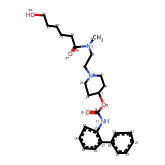 CN(CCN1CCC(OC(=O)Nc2ccccc2-c2ccccc2)CC1)C(=O)CCCCCO